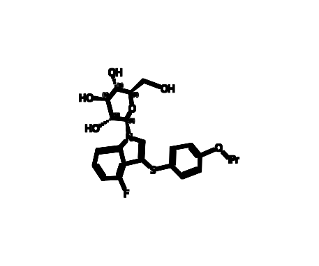 CC(C)Oc1ccc(Sc2cn([C@@H]3O[C@H](CO)[C@@H](O)[C@H](O)[C@H]3O)c3cccc(F)c23)cc1